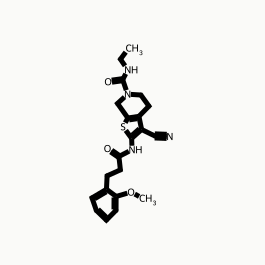 CCNC(=O)N1CCc2c(sc(NC(=O)CCc3ccccc3OC)c2C#N)C1